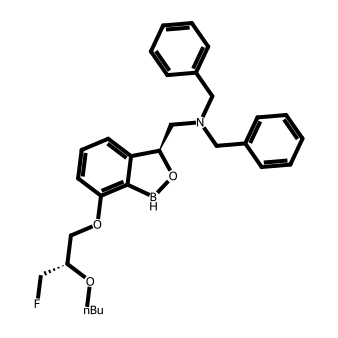 CCCCO[C@H](CF)COc1cccc2c1BO[C@@H]2CN(Cc1ccccc1)Cc1ccccc1